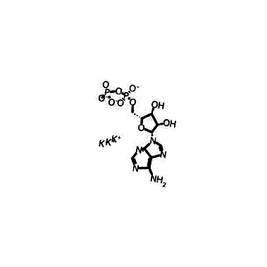 Nc1ncnc2c1ncn2[C@@H]1O[C@H](COP(=O)([O-])OP(=O)([O-])[O-])[C@@H](O)[C@H]1O.[K+].[K+].[K+]